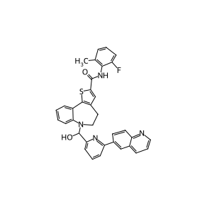 Cc1cccc(F)c1NC(=O)c1cc2c(s1)-c1ccccc1N(C(O)c1cccc(-c3ccc4ncccc4c3)n1)CC2